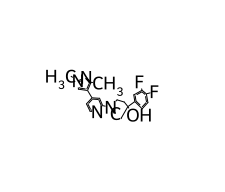 Cc1nn(C)cc1-c1ccnc(N2CCC(O)(c3ccc(F)c(F)c3)CC2)c1